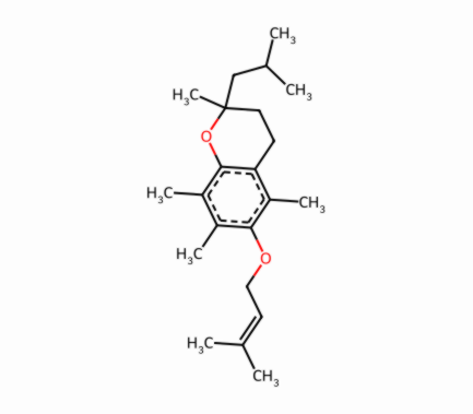 CC(C)=CCOc1c(C)c(C)c2c(c1C)CCC(C)(CC(C)C)O2